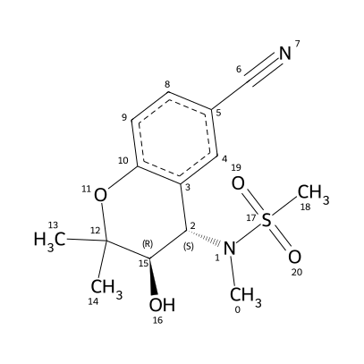 CN([C@H]1c2cc(C#N)ccc2OC(C)(C)[C@@H]1O)S(C)(=O)=O